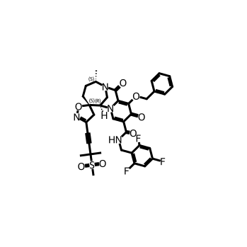 C[C@H]1CC[C@]2(CC(C#CC(C)(C)S(C)(=O)=O)=NO2)[C@H]2CN1C(=O)c1c(OCc3ccccc3)c(=O)c(C(=O)NCc3c(F)cc(F)cc3F)cn12